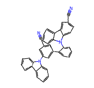 N#Cc1cc(-c2ccccc2-n2c3ccccc3c3cc(C#N)ccc32)cc(-n2c3ccccc3c3ccccc32)c1